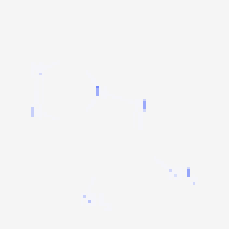 CC1N=Nc2c(N)c(N)nn21